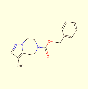 O=Cc1cnn2c1CN(C(=O)OCc1ccccc1)CC2